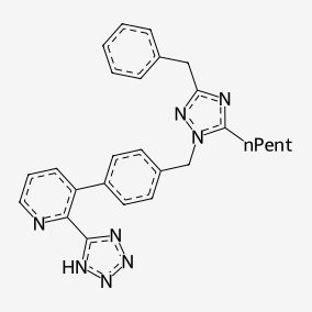 CCCCCc1nc(Cc2ccccc2)nn1Cc1ccc(-c2cccnc2-c2nnn[nH]2)cc1